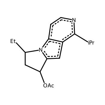 CCC1CC(OC(C)=O)c2cc3c(C(C)C)nccc3n21